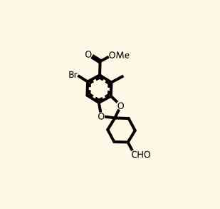 COC(=O)c1c(Br)cc2c(c1C)OC1(CCC(C=O)CC1)O2